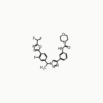 CC(c1ccc(-c2nnc(C(F)F)o2)c(F)c1)n1cc(-c2cccc(NC(=O)N3CCOCC3)c2)nn1